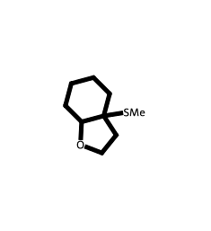 CSC12CCCCC1OCC2